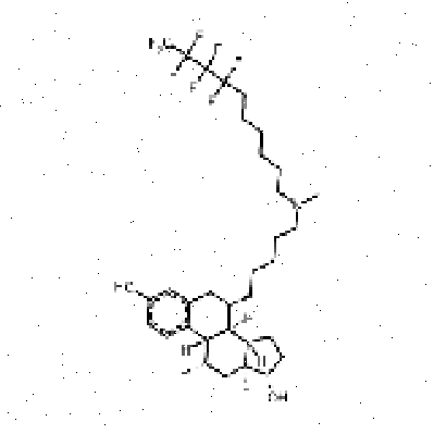 CN(CCCCCCC(F)(F)C(F)(F)C(F)(F)C(F)(F)F)CCCCC[C@@H]1Cc2cc(O)ccc2[C@@H]2[C@@H]1[C@@H]1CC[C@H](O)[C@@]1(C)C[C@@H]2F